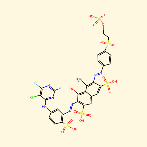 Nc1c(/N=N/c2ccc(S(=O)(=O)CCOS(=O)(=O)O)cc2)c(S(=O)(=O)O)cc2cc(S(=O)(=O)O)c(/N=N/c3cc(Nc4nc(F)nc(F)c4Cl)ccc3S(=O)(=O)O)c(O)c12